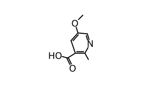 COc1cnc(C)c(C(=O)O)c1